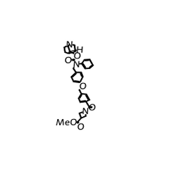 COC(=O)C1CN(C(=O)c2ccc(COc3ccc(CN(C(=O)O[C@H]4CN5CCC4CC5)c4ccccc4)cc3)cc2)C1